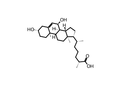 C[C@H](CCC[C@@H](C)[C@H]1CC[C@H]2[C@@H]3[C@H](O)C=C4C[C@@H](O)CC[C@]4(C)[C@H]3CC[C@]12C)C(=O)O